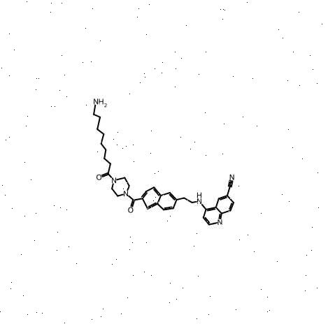 N#Cc1ccc2nccc(NCCc3ccc4cc(C(=O)N5CCN(C(=O)CCCCCCCCN)CC5)ccc4c3)c2c1